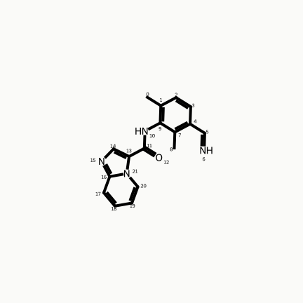 Cc1ccc(C=N)c(C)c1NC(=O)c1cnc2ccccn12